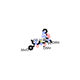 CC[C@H](C)[C@H](NC(=O)[C@H]1CCCCN1C)C(=O)N(CCOC)[C@H](C[C@@H](OCOC)c1nc(C(=O)N[C@@H](Cc2ccc(OC)cc2)C[C@H](C)C(=O)O)cs1)C(C)C